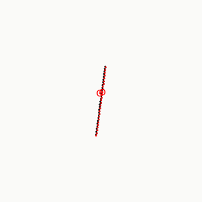 CCCCCCCCCCCCCCCCCCCCCCCCCCCCCCCC(=O)OCCCCCCCCCCCCCCCCCCC